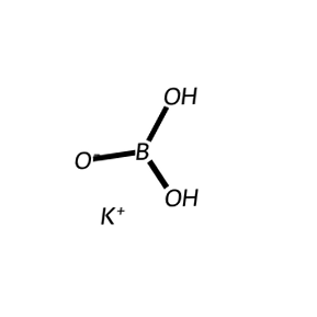 [K+].[O-]B(O)O